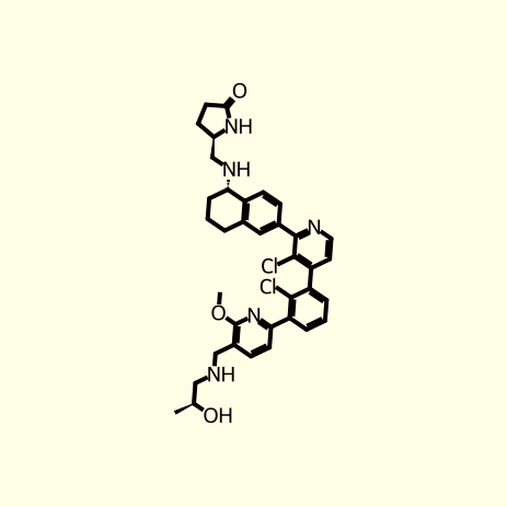 COc1nc(-c2cccc(-c3ccnc(-c4ccc5c(c4)CCC[C@@H]5NC[C@H]4CCC(=O)N4)c3Cl)c2Cl)ccc1CNC[C@H](C)O